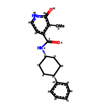 COc1c(C(=O)N[C@H]2CC[C@@H](c3ccccc3)CC2)cc[nH]c1=O